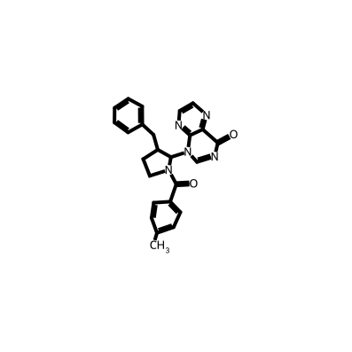 Cc1ccc(C(=O)N2CCC(Cc3ccccc3)C2n2cnc(=O)c3nccnc32)cc1